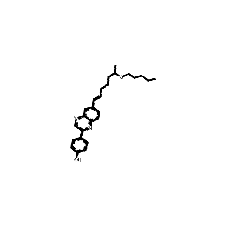 CCCCCOC(C)CCCC=Cc1ccc2nc(-c3ccc(O)cc3)cnc2c1